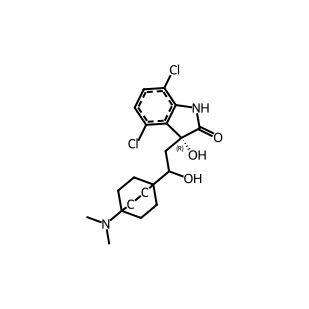 CN(C)C12CCC(C(O)C[C@]3(O)C(=O)Nc4c(Cl)ccc(Cl)c43)(CC1)CC2